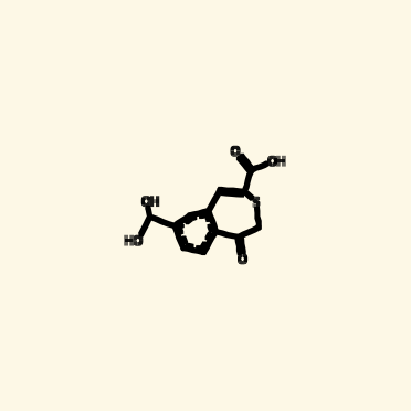 O=C(O)C1=Cc2cc(C(O)O)ccc2C(=O)CS1